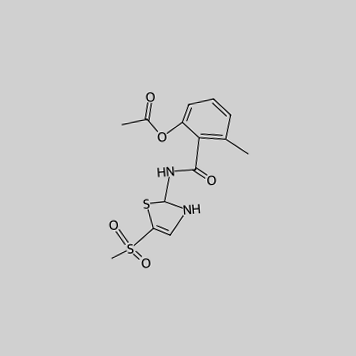 CC(=O)Oc1cccc(C)c1C(=O)NC1NC=C(S(C)(=O)=O)S1